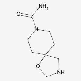 NC(=O)N1CCC2(CC1)CNCO2